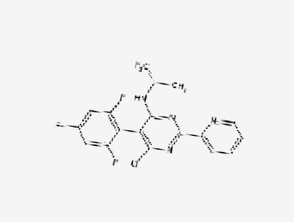 C[C@H](Nc1nc(-c2ccccn2)nc(Cl)c1-c1c(F)cc(F)cc1F)C(F)(F)F